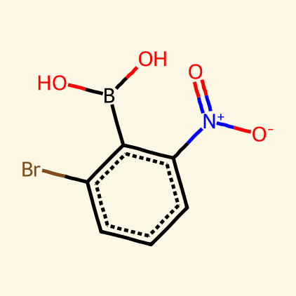 O=[N+]([O-])c1cccc(Br)c1B(O)O